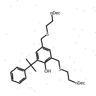 CCCCCCCCCCCCSCc1cc(CSCCCCCCCCCCCC)c(O)c(C(C)(C)c2ccccc2)c1